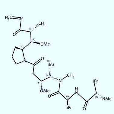 C=NC(=O)[C@H](C)[C@@H](OC)[C@@H]1CCCN1C(=O)C[C@@H](OC)[C@H]([C@@H](C)CC)N(C)C(=O)[C@@H](NC(=O)[C@@H](NC)C(C)C)C(C)C